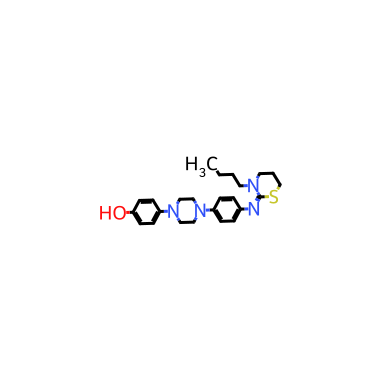 CCCCN1CCCSC1=Nc1ccc(N2CCN(c3ccc(O)cc3)CC2)cc1